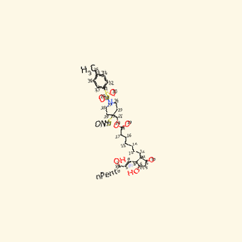 CCCCC[C@H](O)/C=C/[C@@H]1[C@H](O)CC(=O)[C@@H]1CCCCCCC(=O)OCC1(SN=O)CCN(S(=O)(=O)c2ccc(C)cc2)CC1